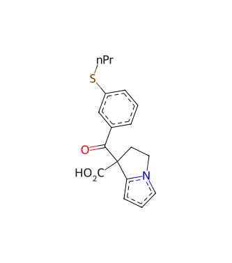 CCCSc1cccc(C(=O)C2(C(=O)O)CCn3cccc32)c1